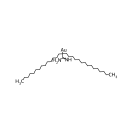 CCCCCCCCCCCCCCC[C]([Au])(CCCCCCCCCCCCCC)C(=N)N